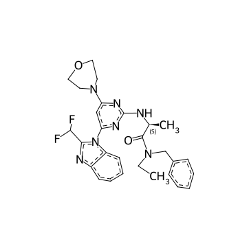 CCN(Cc1ccccc1)C(=O)[C@H](C)Nc1nc(N2CCOCC2)cc(-n2c(C(F)F)nc3ccccc32)n1